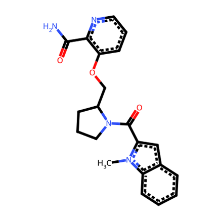 Cn1c(C(=O)N2CCCC2COc2cccnc2C(N)=O)cc2ccccc21